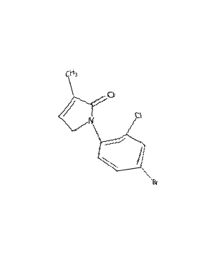 CC1=CCN(c2ccc(Br)cc2Cl)C1=O